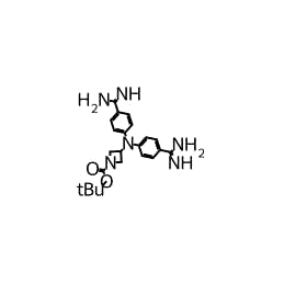 CC(C)(C)OC(=O)N1CC(N(c2ccc(C(=N)N)cc2)c2ccc(C(=N)N)cc2)C1